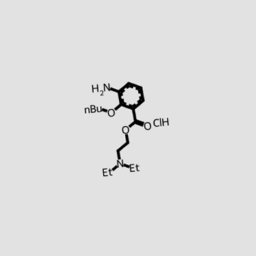 CCCCOc1c(N)cccc1C(=O)OCCN(CC)CC.Cl